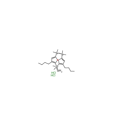 CCCCC1=[C]([Zr]([CH3])([CH3])(=[SiH2])[C]2=C(CCCC)C=C([Si](C)(C)C)C2)CC([Si](C)(C)C)=C1.Cl.Cl